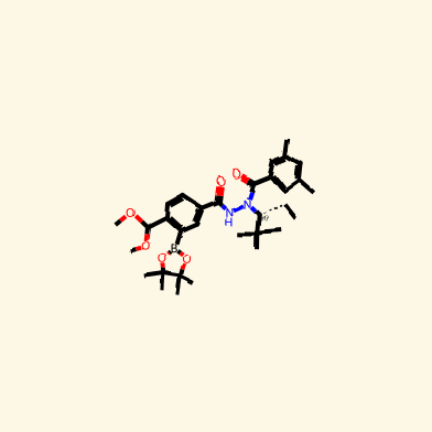 CC[C@@H](N(NC(=O)c1ccc(C(OC)OC)c(B2OC(C)(C)C(C)(C)O2)c1)C(=O)c1cc(C)cc(C)c1)C(C)(C)C